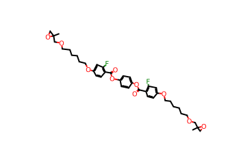 CC1(COCCCCCCOc2ccc(C(=O)Oc3ccc(OC(=O)c4ccc(OCCCCCCOCC5(C)CO5)cc4F)cc3)c(F)c2)CO1